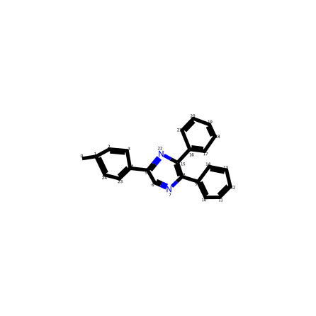 Cc1ccc(-c2cnc(-c3ccccc3)c(-c3ccccc3)n2)cc1